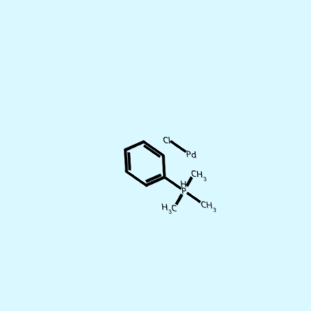 C[PH](C)(C)c1ccccc1.[Cl][Pd]